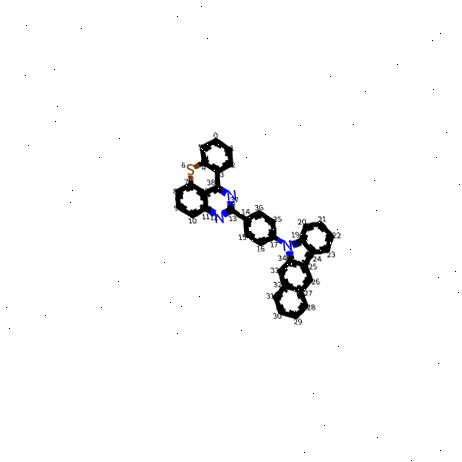 c1ccc2c(c1)Sc1cccc3nc(-c4ccc(-n5c6ccccc6c6cc7ccccc7cc65)cc4)nc-2c13